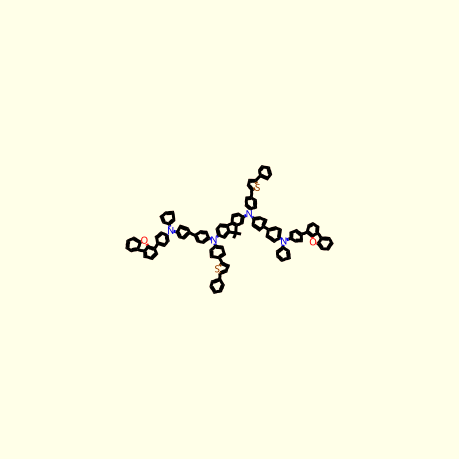 CC1(C)c2cc(N(c3ccc(-c4ccc(N(c5ccccc5)c5ccc(-c6cccc7c6oc6ccccc67)cc5)cc4)cc3)c3ccc(-c4ccc(-c5ccccc5)s4)cc3)ccc2-c2ccc(N(c3ccc(-c4ccc(N(c5ccccc5)c5ccc(-c6cccc7c6oc6ccccc67)cc5)cc4)cc3)c3ccc(-c4ccc(-c5ccccc5)s4)cc3)cc21